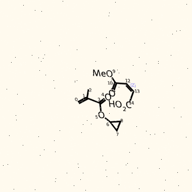 C=C(C)C(=O)OC1CC1.COC(=O)/C=C\C(=O)O